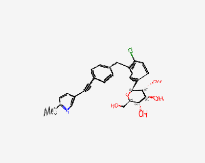 COc1ccc(C#Cc2ccc(Cc3cc([C@@H]4O[C@H](CO)[C@@H](O)[C@H](O)[C@H]4O)ccc3Cl)cc2)cn1